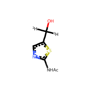 [2H]C([2H])(O)c1cnc(NC(C)=O)s1